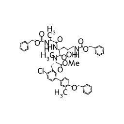 COC(=O)[C@H](Cc1cc(-c2ccc(OCc3ccccc3)c(C)c2)ccc1Cl)N(C)C(=O)[C@H](C[C@@H](O)CNC(=O)OCc1ccccc1)NC(=O)C(C)NC(=O)OCc1ccccc1